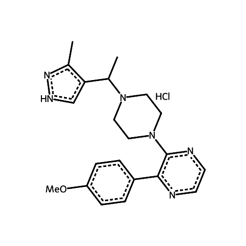 COc1ccc(-c2nccnc2N2CCN(C(C)c3c[nH]nc3C)CC2)cc1.Cl